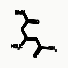 CNC(=O)C/C(=C/C(N)=O)C(=O)O